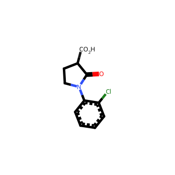 O=C(O)C1CCN(c2ccccc2Cl)C1=O